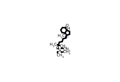 CC[Si](CC)(CC)OC(C)(C)CCC/C=C1/CC[C@H]2C(=O)CCC[C@]12C